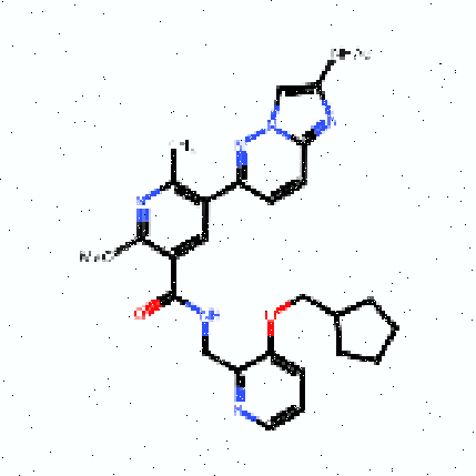 COc1nc(C)c(-c2ccc3nc(NC(C)=O)cn3n2)cc1C(=O)NCc1ncccc1OCC1CCCC1